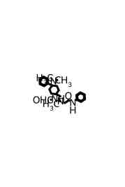 CN(CC(=O)Nc1ccccc1)CC1(NC=O)CCC(c2ccccc2)(N(C)C)CC1